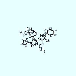 CCCC(Sc1nnc(-c2cccs2)n1C(=O)OC(C)(C)C)C(=O)Nc1ccccc1